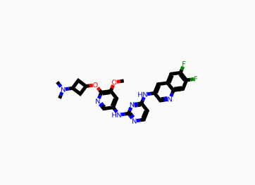 COc1cc(Nc2nccc(Nc3cnc4cc(F)c(F)cc4c3)n2)cnc1OC1CC(N(C)C)C1